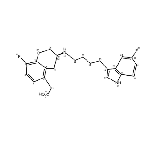 O=C(O)Cc1ccc(F)c2c1C[C@H](NCCCCc1c[nH]c3ccc(F)cc13)CO2